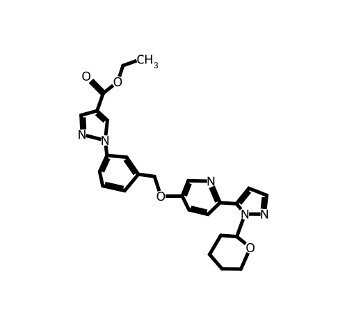 CCOC(=O)c1cnn(-c2cccc(COc3ccc(-c4ccnn4C4CCCCO4)nc3)c2)c1